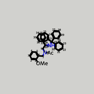 COc1ccccc1CN(CC(NC(c1ccccc1)(c1ccccc1)c1ccccc1)c1ccccc1)C(C)=O